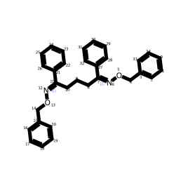 c1ccc(CO/N=C(/CCC/C(=N\OCc2ccccc2)c2ccccc2)c2ccccc2)cc1